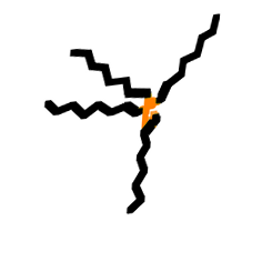 CCCCCC/C=C/[PH](/C=C/CCCCCC)(/C=C/CCCCCC)/C=C/CCCCCC